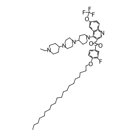 CCCCCCCCCCCCCCCCCCCCOc1ccc(S(=O)(=O)c2cnc3ccc(OC(F)(F)F)cc3c2N2CCC(N3CCN(C4CCN(CC)CC4)CC3)CC2)cc1F